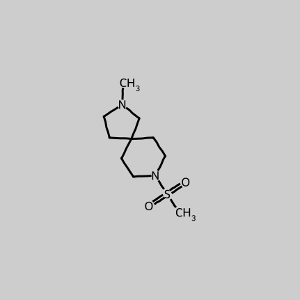 CN1CCC2(CCN(S(C)(=O)=O)CC2)C1